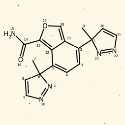 CC1(c2ccc(C3(C)C=CN=N3)c3c(C(N)=O)occ23)C=CN=N1